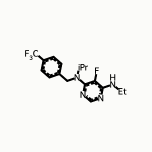 CCNc1ncnc(N(Cc2ccc(C(F)(F)F)cc2)C(C)C)c1F